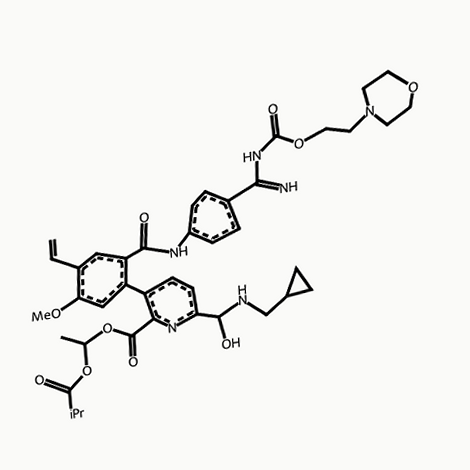 C=Cc1cc(C(=O)Nc2ccc(C(=N)NC(=O)OCCN3CCOCC3)cc2)c(-c2ccc(C(O)NCC3CC3)nc2C(=O)OC(C)OC(=O)C(C)C)cc1OC